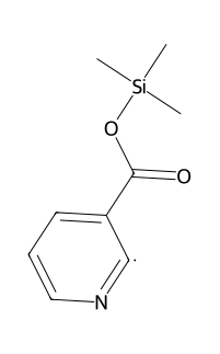 C[Si](C)(C)OC(=O)c1[c]nccc1